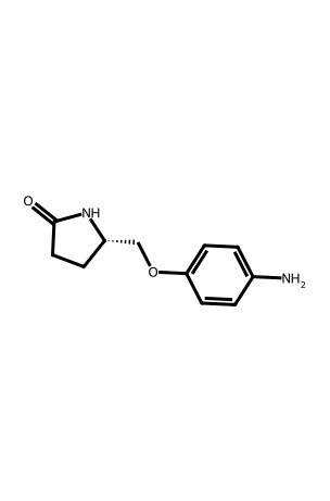 Nc1ccc(OC[C@@H]2CCC(=O)N2)cc1